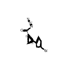 [N-]=[N+]=NC(=O)[C@H]1C[C@@H]1C1=CC=C(Br)C1